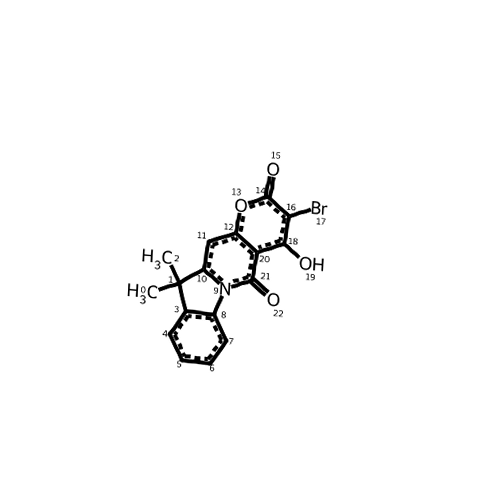 CC1(C)c2ccccc2-n2c1cc1oc(=O)c(Br)c(O)c1c2=O